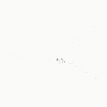 CCCCCCCCCCCCCCCCCC[n+]1ccn(CCCCCCCCCCCCCC)c1CCCCCCCCCCCCCCCC